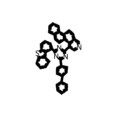 c1ccc(-c2ccc(-c3nc(-c4cncc5ccc6c7ccccc7ccc6c45)nc(-c4cccc5sc6ccccc6c45)n3)cc2)cc1